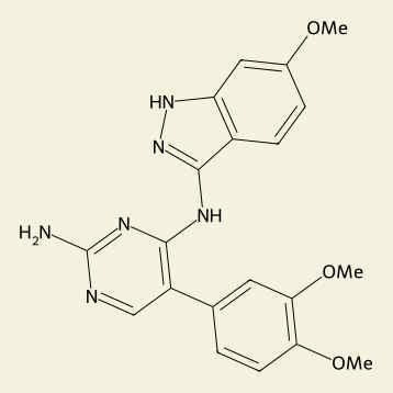 COc1ccc2c(Nc3nc(N)ncc3-c3ccc(OC)c(OC)c3)n[nH]c2c1